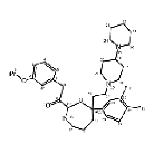 CC(C)Oc1cccc(CC(=O)C2CC(CCN3CCC(N4CCCCC4)CC3)(c3ccc(F)c(F)c3)CCCN2)c1